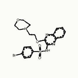 O=S(=O)(Nc1nc2ccccc2nc1OCCN1CCOCC1)c1ccc(Br)cc1